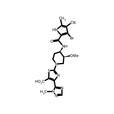 CO[C@H]1CN(c2nc(-c3ncnn3C)c(C(=O)O)s2)CC[C@H]1NC(=O)c1[nH]c(C)c(C#N)c1Br